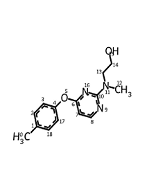 Cc1ccc(Oc2ccnc(N(C)CCO)n2)cc1